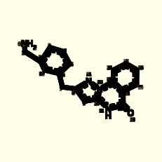 NCc1cccc(Cc2cc3[nH]c(=O)c4ccccc4n3n2)c1